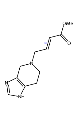 COC(=O)/C=C/CN1CCc2[nH]cnc2C1